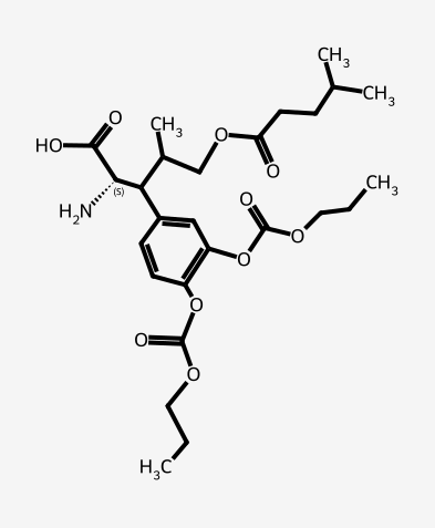 CCCOC(=O)Oc1ccc(C(C(C)COC(=O)CCC(C)C)[C@H](N)C(=O)O)cc1OC(=O)OCCC